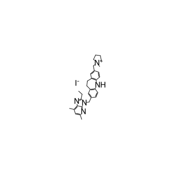 CCc1nc2c(C)cc(C)nc2n1Cc1ccc2c(c1)CCc1cc(C[N+]3(C)CCCC3)ccc1N2.[I-]